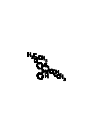 CCCC[C@]1(CC)CSc2cc(OC(C)C)ccc2[C@H](c2ccccc2)N1